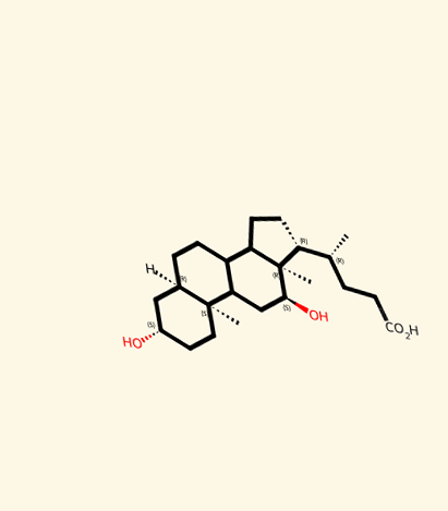 C[C@H](CCC(=O)O)[C@H]1CCC2C3CC[C@@H]4C[C@@H](O)CC[C@]4(C)C3C[C@H](O)[C@@]21C